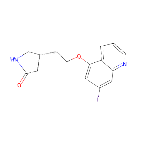 O=C1C[C@@H](CCOc2cc(I)cc3ncccc23)CN1